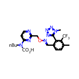 CCCCN(C(=O)O)c1ccnc(CON=Cc2ccc(C)c(C(F)(F)F)c2-c2nnnn2C)n1